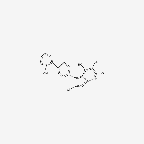 N#Cc1c(O)c2c(cc(Cl)n2-c2ccc(-c3ccccc3O)cc2)[nH]c1=O